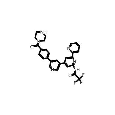 O=C(c1ccc(-c2cncc(-c3cc(NC(=O)C(F)(F)F)nc(-c4ccccn4)c3)c2)cc1)N1CCNCC1